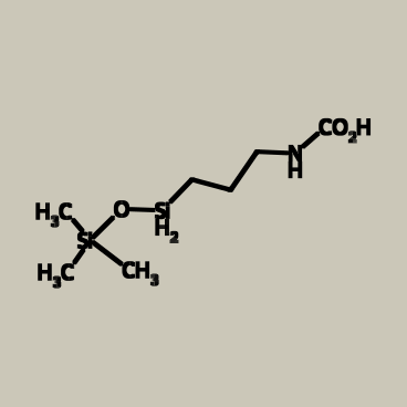 C[Si](C)(C)O[SiH2]CCCNC(=O)O